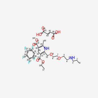 CCCNCCOCCOCC1=C(C(=O)OCC)[C@H](c2c(F)c(F)c(F)c(F)c2F)C(C(=O)OC)=C(C)N1.O=C(O)C=CC(=O)O